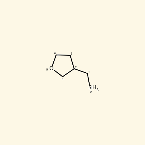 [SiH3]CC1CCOC1